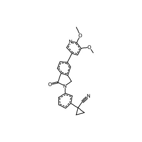 COc1cc(-c2ccc3c(c2)CN(c2cccc(C4(C#N)CC4)c2)C3=O)cnc1OC